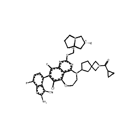 N#Cc1c(N)sc2c(F)ccc(-c3c(Cl)c4c5c(nc(OC[C@@]67CCCN6C[C@H](F)C7)nc5c3F)N(C3CCC5(C3)CN(C(=O)C3CC3)C5)CCO4)c12